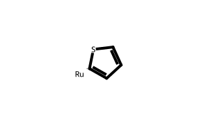 [Ru].[c]1cccs1